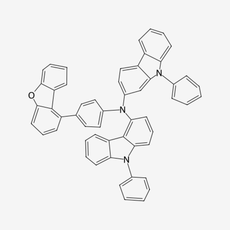 c1ccc(-n2c3ccccc3c3ccc(N(c4ccc(-c5cccc6oc7ccccc7c56)cc4)c4cccc5c4c4ccccc4n5-c4ccccc4)cc32)cc1